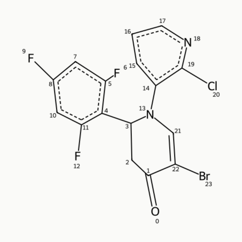 O=C1CC(c2c(F)cc(F)cc2F)N(c2cccnc2Cl)C=C1Br